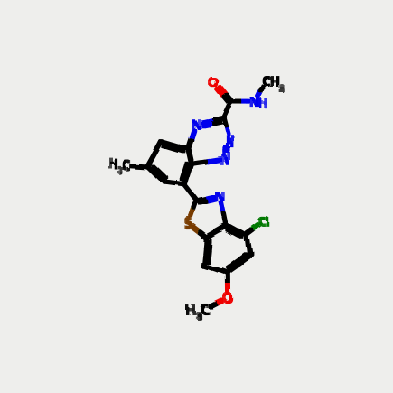 CNC(=O)c1nnc2c(-c3nc4c(Cl)cc(OC)cc4s3)cc(C)cc2n1